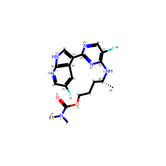 CCN(C)C(=O)OCCC[C@@H](C)Nc1nc(-c2c[nH]c3ncc(F)cc23)ncc1F